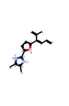 C=C/C=C(\C(=C)C)c1ccc(-c2nc(C)c(C)[nH]2)o1